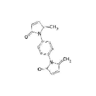 C=C1C=CC(=O)N1c1ccc(N2C(=C)C=CC2=O)cc1